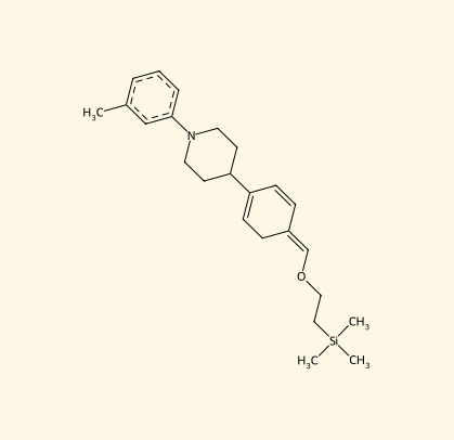 Cc1cccc(N2CCC(C3=CCC(=COCC[Si](C)(C)C)C=C3)CC2)c1